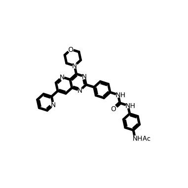 CC(=O)Nc1ccc(NC(=O)Nc2ccc(-c3nc(N4CCOCC4)c4ncc(-c5ccccn5)cc4n3)cc2)cc1